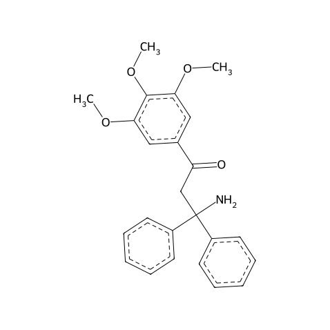 COc1cc(C(=O)CC(N)(c2ccccc2)c2ccccc2)cc(OC)c1OC